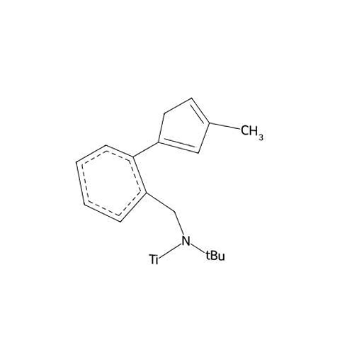 CC1=CCC(c2ccccc2C[N]([Ti])C(C)(C)C)=C1